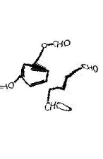 O=CCCCC=O.O=COc1cccc(O)c1